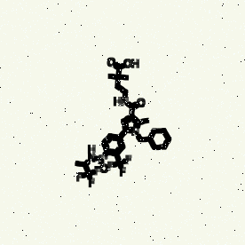 Cc1c(C(=O)NCCC(C)(C)C(=O)O)cc(-c2ccc([S+]([O-])NC(C)C(F)(F)F)c(C(F)(F)F)c2)n1CC1CCCCC1